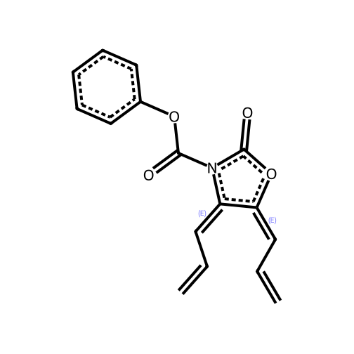 C=C/C=c1/oc(=O)n(C(=O)Oc2ccccc2)/c1=C/C=C